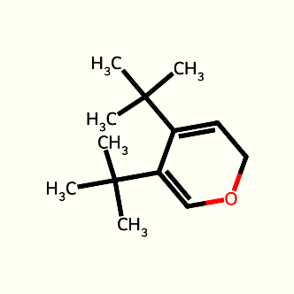 CC(C)(C)C1=CCOC=C1C(C)(C)C